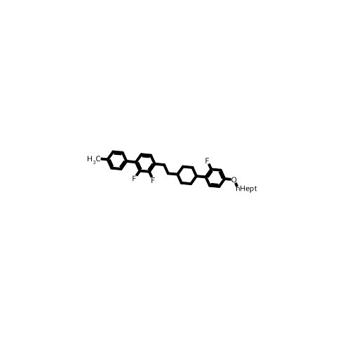 CCCCCCCOc1ccc(C2CCC(CCc3ccc(-c4ccc(C)cc4)c(F)c3F)CC2)c(F)c1